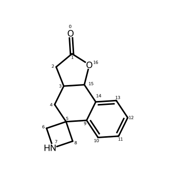 O=C1CC2CC3(CNC3)c3ccccc3C2O1